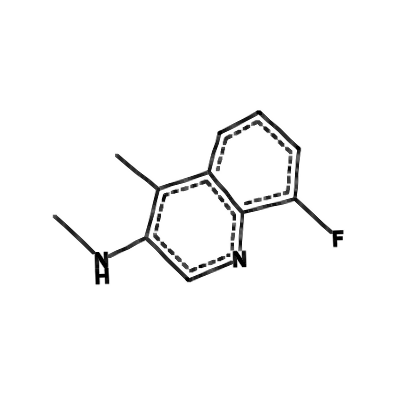 CNc1cnc2c(F)cccc2c1C